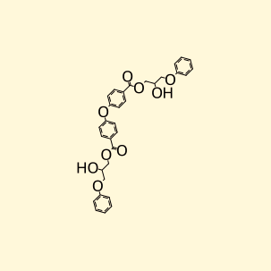 O=C(OCC(O)COc1ccccc1)c1ccc(Oc2ccc(C(=O)OCC(O)COc3ccccc3)cc2)cc1